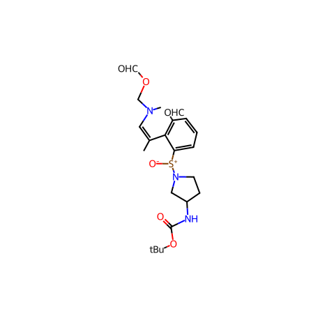 C/C(=C/N(C)COC=O)c1c(C=O)cccc1[S+]([O-])N1CCC(NC(=O)OC(C)(C)C)C1